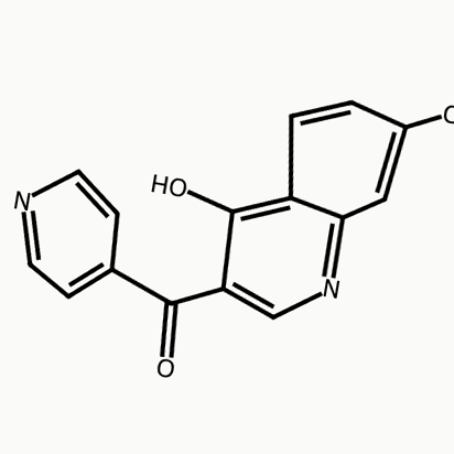 O=C(c1ccncc1)c1cnc2cc(Cl)ccc2c1O